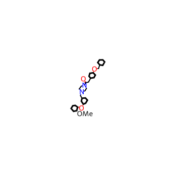 COc1ccccc1Oc1cccc(CN2CCN(C(=O)Cc3ccc(OCc4ccccc4)cc3)CC2)c1